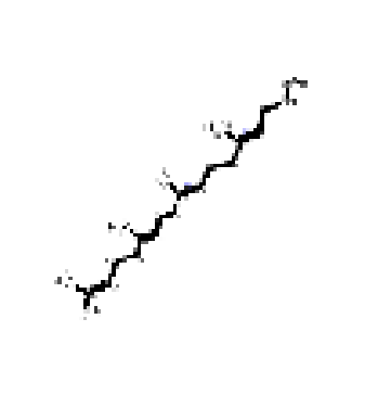 CCCCCNC/C=C(\C)CC/C=C(\C)CC/C=C(\C)CCC=C(C)C